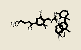 Cc1cc(C2(C)CCCc3nc(SCc4c(F)cc(C(=O)CCCO)cc4F)n(-c4ccc(F)cc4)c32)ccc1Cl